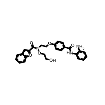 Nc1ccccc1NC(=O)c1ccc(OCCN(OCCO)C(=O)c2cc3ccccc3o2)cc1